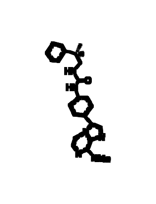 CNc1nccn2c(-c3ccc(NC(=O)NC[C@@H](C)c4ccccc4)cc3)cnc12